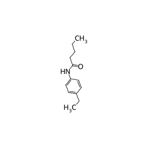 CCCCC(=O)Nc1ccc(CC)cc1